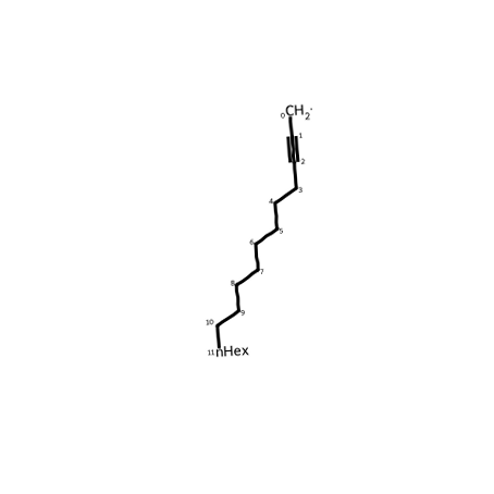 [CH2]C#CCCCCCCCCCCCCCC